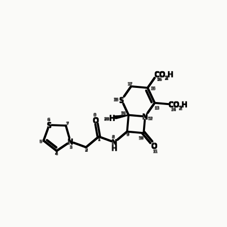 O=C(CN1C=CSC1)NC1C(=O)N2C(C(=O)O)=C(C(=O)O)CS[C@@H]12